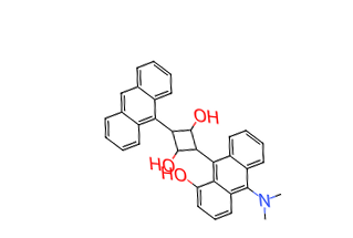 CN(C)c1c2ccccc2c(C2C(O)C(c3c4ccccc4cc4ccccc34)C2O)c2c(O)cccc12